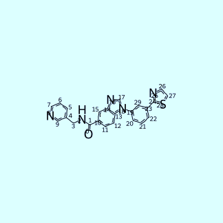 O=C(NCc1cccnc1)c1ccc2c(c1)ncn2-c1cccc(-c2nccs2)c1